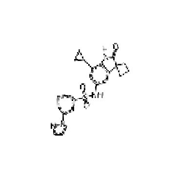 O=C1Nc2c(C3CC3)cc(NS(=O)(=O)c3cccc(-n4cccn4)c3)cc2C12CCC2